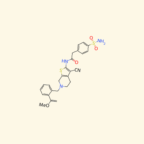 C=C(OC)c1ccccc1CN1CCc2c(sc(NC(=O)Cc3ccc(S(N)(=O)=O)cc3)c2C#N)C1